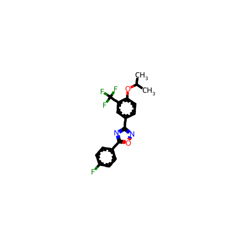 CC(C)Oc1ccc(-c2noc(-c3ccc(F)cc3)n2)cc1C(F)(F)F